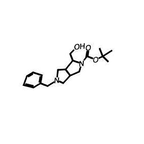 CC(C)(C)OC(=O)N1CC2CN(Cc3ccccc3)CC2C1CO